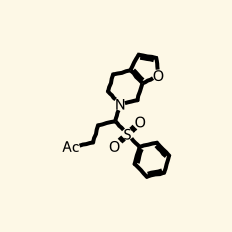 CC(=O)CCC(N1CCc2ccoc2C1)S(=O)(=O)c1ccccc1